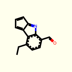 CCc1ccc(C=O)c2c1C1=CC=CC1=N2